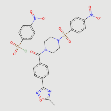 Cc1nc(-c2ccc(C(=O)N3CCN(S(=O)(=O)c4ccc([N+](=O)[O-])cc4)CC3)cc2)no1.O=[N+]([O-])c1ccc(S(=O)(=O)Cl)cc1